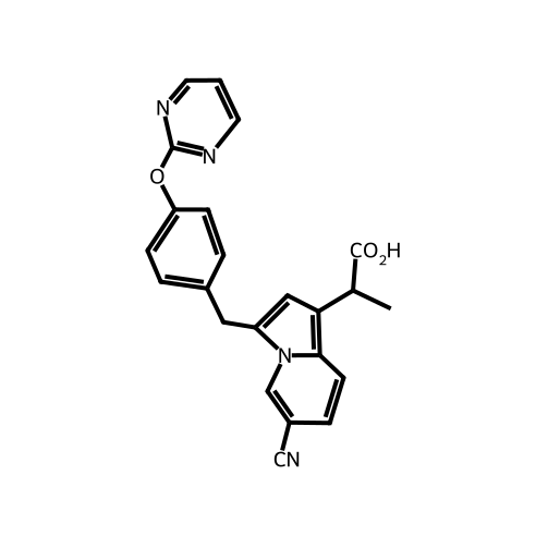 CC(C(=O)O)c1cc(Cc2ccc(Oc3ncccn3)cc2)n2cc(C#N)ccc12